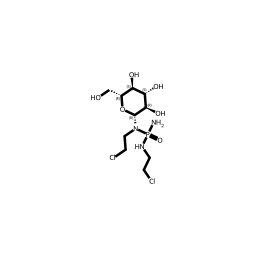 NP(=O)(NCCCl)N(CCCl)[C@@H]1O[C@H](CO)[C@@H](O)[C@H](O)[C@H]1O